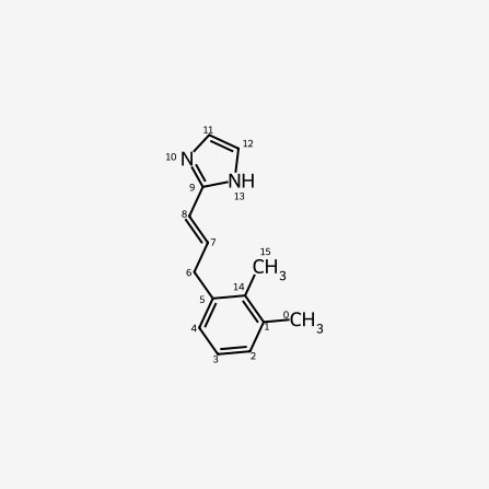 Cc1cccc(CC=Cc2ncc[nH]2)c1C